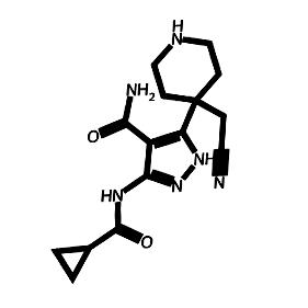 N#CCC1(c2[nH]nc(NC(=O)C3CC3)c2C(N)=O)CCNCC1